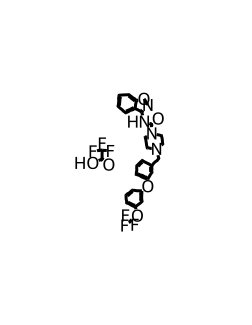 O=C(Nc1noc2ccccc12)N1CCN(Cc2cccc(Oc3cccc(OC(F)(F)F)c3)c2)CC1.O=C(O)C(F)(F)F